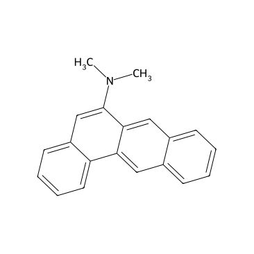 CN(C)c1cc2ccccc2c2cc3ccccc3cc12